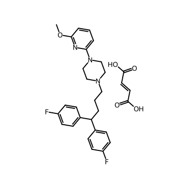 COc1cccc(N2CCN(CCCC(c3ccc(F)cc3)c3ccc(F)cc3)CC2)n1.O=C(O)C=CC(=O)O